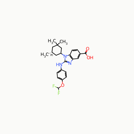 C[C@H]1CC(n2c(Nc3ccc(OC(F)F)cc3)nc3cc(C(=O)O)ccc32)CC(C)(C)C1